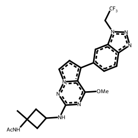 COc1nc(NC2CC(C)(NC(C)=O)C2)nn2ccc(-c3ccc4nnn(CC(F)(F)F)c4c3)c12